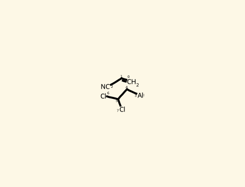 C=CC#N.[Al][CH2]C(Cl)Cl